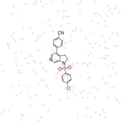 N#Cc1ccc(-c2cncc3c2CCN3S(=O)(=O)c2ccc(Cl)cc2)cc1